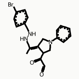 CC(NNc1ccc(Br)cc1)=C1CN(c2ccccc2)CC1C(=O)C=O